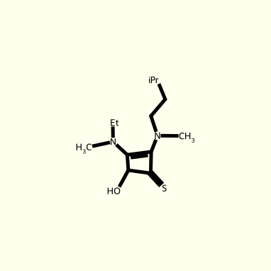 CCN(C)C1=C(N(C)CCC(C)C)C(=S)C1O